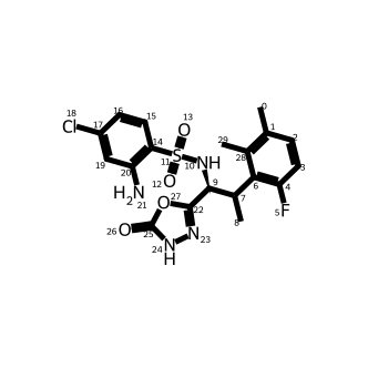 Cc1ccc(F)c(C(C)[C@H](NS(=O)(=O)c2ccc(Cl)cc2N)c2n[nH]c(=O)o2)c1C